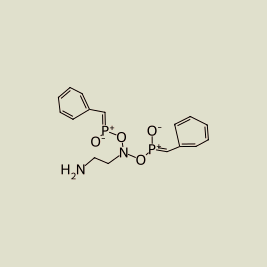 NCCN(O/[P+]([O-])=C/c1ccccc1)O/[P+]([O-])=C/c1ccccc1